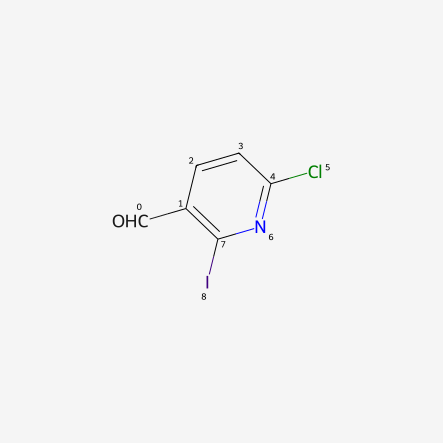 O=Cc1ccc(Cl)nc1I